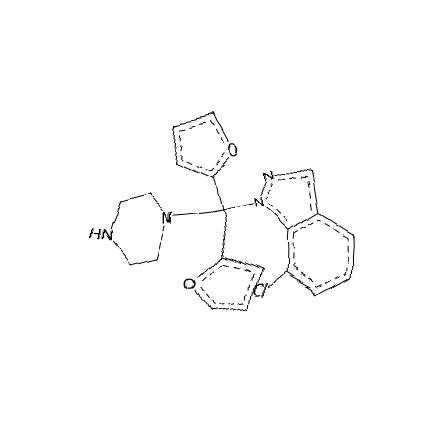 Clc1cccc2cnn(C(c3ccco3)(c3ccco3)N3CCNCC3)c12